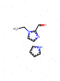 CCn1ccnc1C=O.c1cc[nH]c1